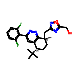 CC(C)(C)[C@H]1CC[C@](C)(Cc2noc(CO)n2)c2nnc(-c3c(F)cccc3F)cc21